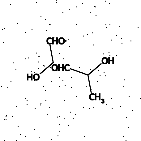 CC(O)[C]=O.O=[C]CO